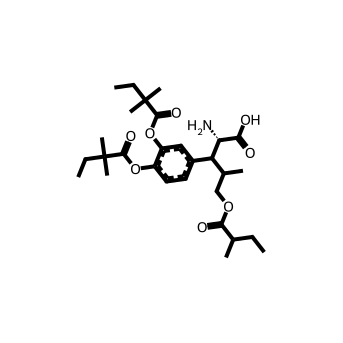 CCC(C)C(=O)OCC(C)C(c1ccc(OC(=O)C(C)(C)CC)c(OC(=O)C(C)(C)CC)c1)[C@H](N)C(=O)O